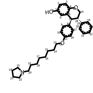 Oc1ccc2c(c1)[C@H](c1ccc(OCCCCCCCCN3CCCC3)cc1)[C@@H](c1ccccc1)CO2